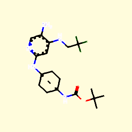 CC(C)(C)OC(=O)NC12CCC(Nc3cc(NCC(F)(F)F)c(N)cn3)(CC1)CC2